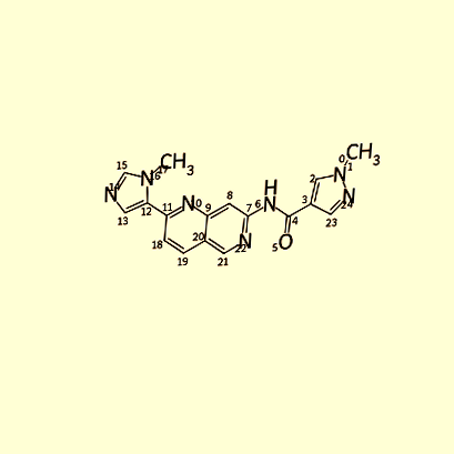 Cn1cc(C(=O)Nc2cc3nc(-c4cncn4C)ccc3cn2)cn1